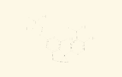 Cc1cc(OCP(=O)(O)O)cc2c1C1(c3ccc(O)c(C(C)C)c3)CC1C2